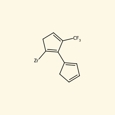 FC(F)(F)C1=CC[C]([Zr])=C1C1=CC=CC1